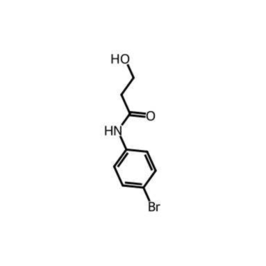 O=C(CCO)Nc1ccc(Br)cc1